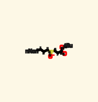 CCCCCCCCCCCC[S+]([O-])CCC(=O)OC(C)(C)C